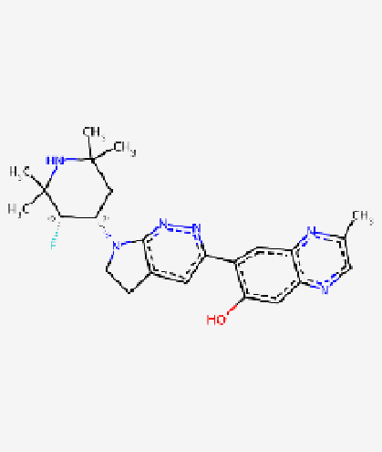 Cc1cnc2cc(O)c(-c3cc4c(nn3)N([C@H]3CC(C)(C)NC(C)(C)[C@H]3F)CC4)cc2n1